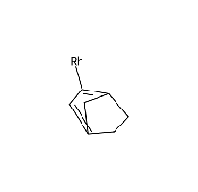 [Rh][C]1=C2CCC(=C1)C2